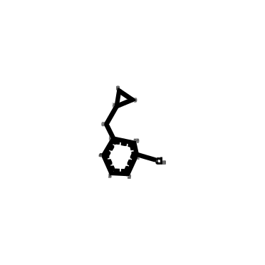 Clc1cccc(C[C]2CC2)c1